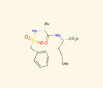 CC[C@@H](C)[C@@H](NS(=O)(=O)Cc1ccccc1)C(=O)N[C@@H](CCSC)C(=O)O